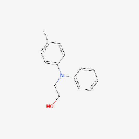 Cc1ccc(N(CCO)c2ccccc2)cc1